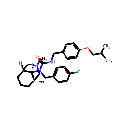 CC(C)COc1ccc(CNC(=O)N(Cc2ccc(F)cc2)[C@@H]2[C@@H]3CCC[C@H]2CN(C)C3)cc1